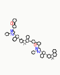 CC1(C)c2ccc(-c3ccc(-c4cc(-c5cccc6c5oc5cc(-c7cc8c(c9ccccc79)-c7cc(-c9ccc(-c%10cc(-c%11ccc%12c(c%11)oc%11ccccc%11%12)nc(-c%11ccccc%11)n%10)c%10ccccc9%10)ccc7C8(C)C)ccc56)nc(-c5ccccc5)n4)c4ccccc34)cc2-c2c1ccc1ccccc21